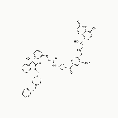 COc1cc(C(=O)N2CC(NC(=O)COc3cccc(C(O)(C(=O)OCC4CCN(Cc5ccccc5)CC4)c4ccccc4)c3)C2)ccc1CNC[C@H](O)c1ccc(O)c2[nH]c(=O)ccc12